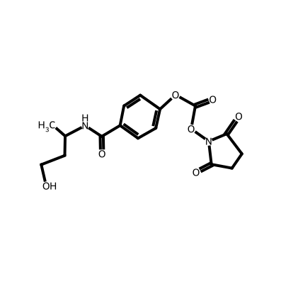 CC(CCO)NC(=O)c1ccc(OC(=O)ON2C(=O)CCC2=O)cc1